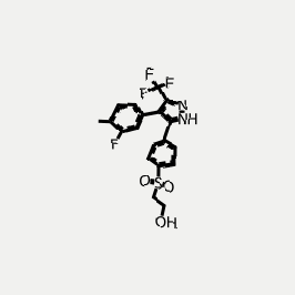 Cc1ccc(-c2c(C(F)(F)F)n[nH]c2-c2ccc(S(=O)(=O)CCO)cc2)cc1F